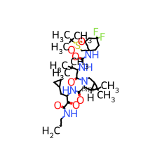 C=CCNC(=O)C(=O)C(CC1CC1)NC(=O)[C@@H]1[C@@H]2C(CN1C(=O)C(NC(=O)NC1(CS(=O)(=O)C(C)(C)C)CCC(F)(F)CC1)C(C)(C)C)C2(C)C